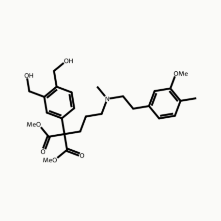 COC(=O)C(CCCN(C)CCc1ccc(C)c(OC)c1)(C(=O)OC)c1ccc(CO)c(CO)c1